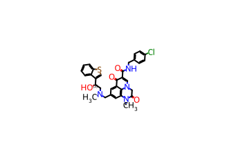 CN(Cc1cc2c3c(c1)c(=O)c(C(=O)NCc1ccc(Cl)cc1)cn3CC(=O)N2C)C[C@@H](O)c1csc2ccccc12